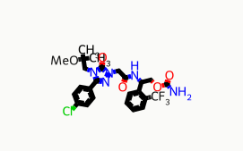 COC(C)(C)Cn1c(-c2ccc(Cl)cc2)nn(CC(=O)NC(COC(N)=O)c2ccccc2C(F)(F)F)c1=O